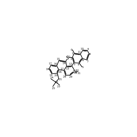 Cc1c2c(c(C)c3ccccc13)-c1c3c(cc4cccc(CC(C)(C)C)c4c3cc[n+]1C)S2